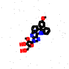 COc1ccc(C(Nc2ncnc3c2ncn3[C@@H]2O[C@H](CO)C(O)C2OC)(c2ccccc2)c2ccccc2)cc1